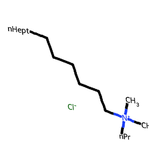 CCCCCCCCCCCCC[N+](C)(C)CCC.[Cl-]